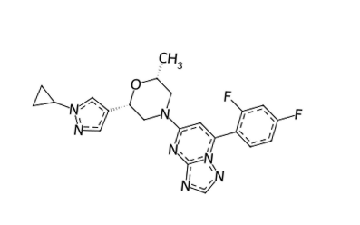 C[C@@H]1CN(c2cc(-c3ccc(F)cc3F)n3ncnc3n2)C[C@H](c2cnn(C3CC3)c2)O1